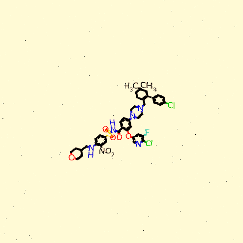 CC1(C)CCC(CN2CCN(c3ccc(C(=O)NS(=O)(=O)c4ccc(NCC5CCOCC5)c([N+](=O)[O-])c4)c(Oc4cnc(Cl)c(F)c4)c3)CC2)=C(c2ccc(Cl)cc2)C1